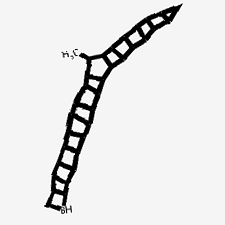 CC1C2C(C3C1C1C3C3C1C1C4C5C6C7C8CBC8C7C6C5C4C31)C1C2C2C3C4C5CC5C4C3C12